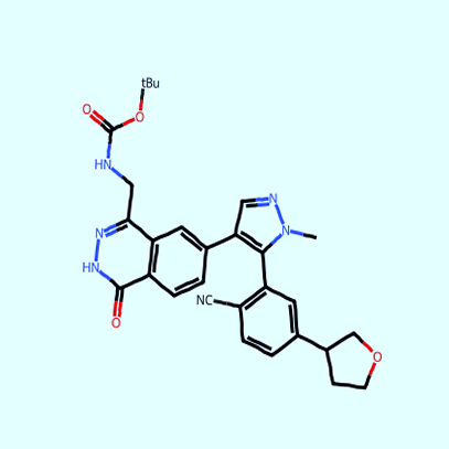 Cn1ncc(-c2ccc3c(=O)[nH]nc(CNC(=O)OC(C)(C)C)c3c2)c1-c1cc(C2CCOC2)ccc1C#N